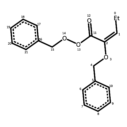 CCC=C(OCc1ccccc1)C(=O)OOCc1ccccc1